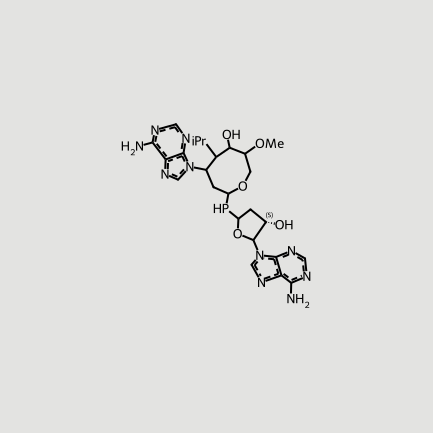 COC1COC(PC2C[C@H](O)C(n3cnc4c(N)ncnc43)O2)CC(n2cnc3c(N)ncnc32)C(C(C)C)C1O